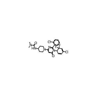 CN(C)C(=O)NC1CCN(c2cc(=O)n(C3C=CC(Cl)=CC3(F)F)c(-c3ccccc3Cl)n2)CC1